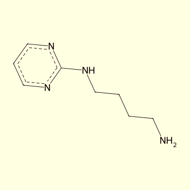 NCCCCNc1ncccn1